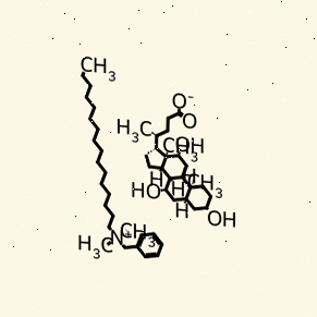 CCCCCCCCCCCCCCCC[N+](C)(C)Cc1ccccc1.C[C@H](CCC(=O)[O-])[C@H]1CC[C@H]2[C@@H]3[C@H](O)C[C@@H]4C[C@H](O)CC[C@]4(C)[C@H]3C[C@H](O)[C@]12C